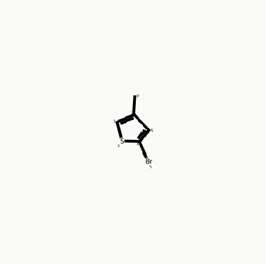 Cc1[c]sc(Br)c1